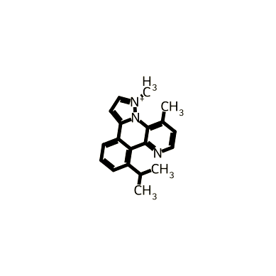 Cc1ccnc2c3c(C(C)C)cccc3c3cc[n+](C)n3c12